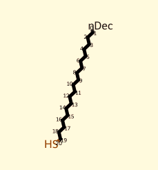 CCCCCCCCCCCCCCCCCCCCCCCCCCCCCS